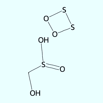 O1OSS1.O=S(O)CO